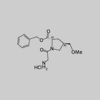 COC[C@@H]1C[C@@H](C(=O)OCc2ccccc2)N(C(=O)CN)C1.Cl